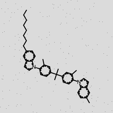 CCCCCCCCc1ccc2c(ccn2-c2ccc(C(C)(C)c3ccc(-n4ccc5cc(C)ccc54)c(C)c3)cc2C)c1